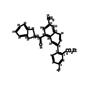 CCOC(=O)c1cc(F)ccc1-c1ccc2nc(N)nc(C(=O)N3Cc4ccccc4C3)c2c1